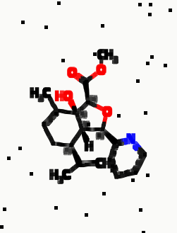 C=C(C)[C@H]1CC=C(C)[C@@]2(O)[C@@H]1[C@H](c1ccccn1)O[C@@H]2C(=O)OC